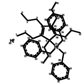 CCCC1=C(CCC)[C](CCC)([Hf]([CH2]c2ccccc2)([CH2]c2ccccc2)[CH2]c2ccccc2)C(CCC)=C1CCC.[Hf]